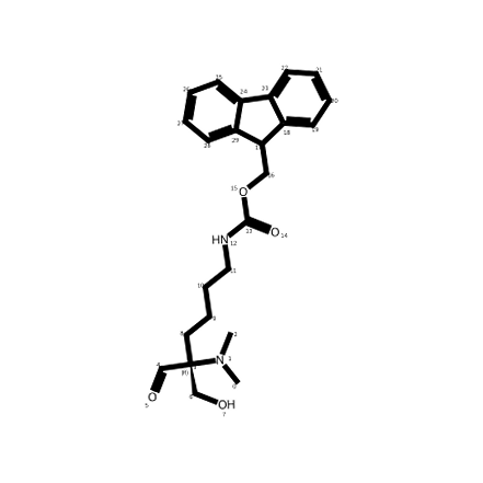 CN(C)[C@@](C=O)(CO)CCCCNC(=O)OCC1c2ccccc2-c2ccccc21